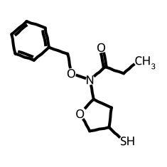 CCC(=O)N(OCc1ccccc1)C1CC(S)CO1